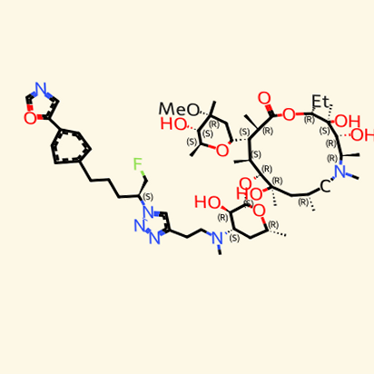 CC[C@H]1OC(=O)[C@H](C)[C@@H](C2C[C@@](C)(OC)[C@@H](O)[C@H](C)O2)[C@H](C)[C@@H](O[C@@H]2O[C@H](C)C[C@H](N(C)CCc3cn([C@H](CF)CCCc4ccc(-c5cnco5)cc4)nn3)[C@H]2O)[C@](C)(O)C[C@@H](C)CN(C)[C@H](C)[C@@H](O)[C@]1(C)O